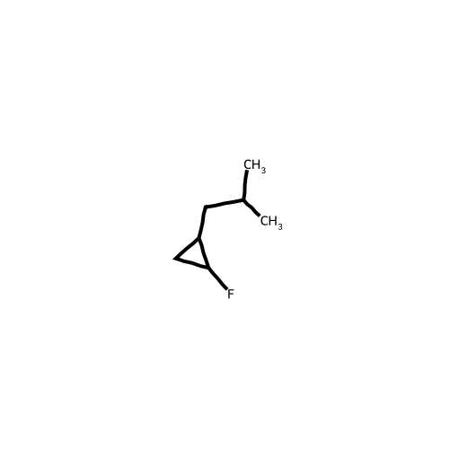 CC(C)CC1CC1F